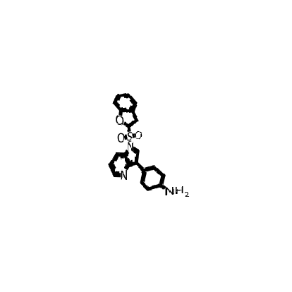 NC1CC=C(c2cn(S(=O)(=O)C3Cc4ccccc4O3)c3cccnc23)CC1